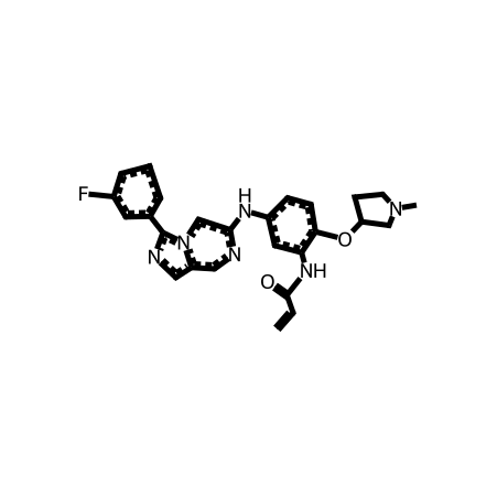 C=CC(=O)Nc1cc(Nc2cn3c(-c4cccc(F)c4)ncc3cn2)ccc1OC1CCN(C)C1